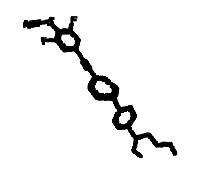 CCCCC(CC)c1ccc(-c2ccc(C#Cc3cc(F)c(SC#N)c(F)c3)cc2)cc1